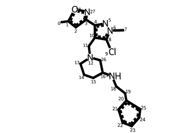 Cc1cc(-c2nn(C)c(Cl)c2CN2CCCC(NCCc3ccccc3)C2)no1